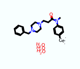 CN(C(=O)CCN1CCN(Cc2ccccc2)CC1)c1cc[c]([Ge])cc1.O.O.O